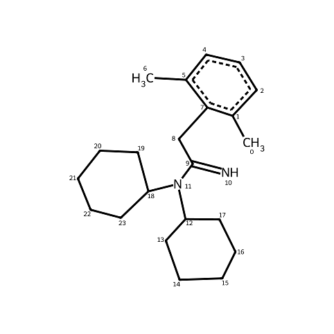 Cc1cccc(C)c1CC(=N)N(C1CCCCC1)C1CCCCC1